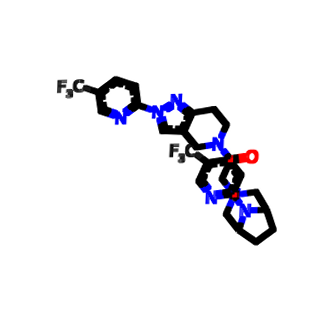 O=C(CN1CC2CCC(C1)N2c1ccc(C(F)(F)F)cn1)N1CCc2nn(-c3ccc(C(F)(F)F)cn3)cc2C1